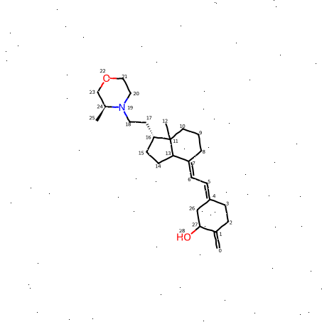 C=C1CC/C(=C/C=C2\CCCC3(C)C2CC[C@@H]3CCN2CCOC[C@@H]2C)CC1O